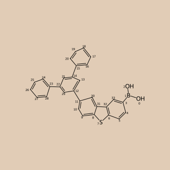 OB(O)c1ccc2sc3ccc(-c4cc(-c5ccccc5)cc(-c5ccccc5)c4)cc3c2c1